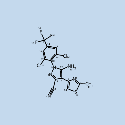 Cc1nc(-c2c(C#N)nn(-c3c(Cl)cc(C(F)(F)F)cc3Cl)c2N)cs1